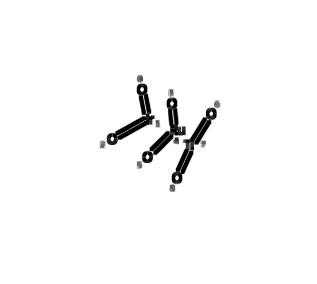 [O]=[Ir]=[O].[O]=[Ru]=[O].[O]=[Ti]=[O]